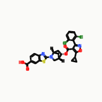 O=C(O)c1ccc2nc(N3C[C@@H]4C[C@H]3C[C@@H]4OC(=O)c3c(-c4c(Cl)cccc4Cl)noc3C3CC3)sc2c1